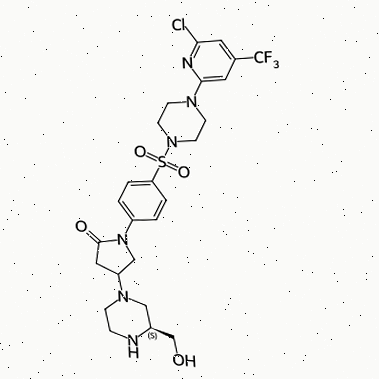 O=C1CC(N2CCN[C@H](CO)C2)CN1c1ccc(S(=O)(=O)N2CCN(c3cc(C(F)(F)F)cc(Cl)n3)CC2)cc1